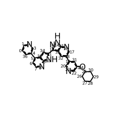 c1cncc(-c2ccnc3[nH]c(-c4n[nH]c5ncc(-c6cncc(OC7CCCCC7)c6)cc45)cc23)c1